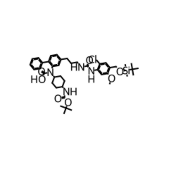 COc1cc(NC(=O)NCCCc2ccc(-c3ccccc3)c(N(C(=O)O)C3CCC(NC(=O)OC(C)(C)C)CC3)c2)c(Cl)cc1CO[Si](C)(C)C(C)(C)C